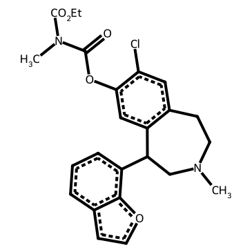 CCOC(=O)N(C)C(=O)Oc1cc2c(cc1Cl)CCN(C)CC2c1cccc2ccoc12